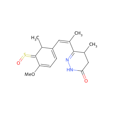 COC1=CC=C(C=C(C)C2=NNC(=O)CC2C)C(C)C1=S=O